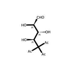 CC(=O)C(C(C)=O)(C(C)=O)[C@@H](O)[C@@H](O)[C@@H](O)C=O